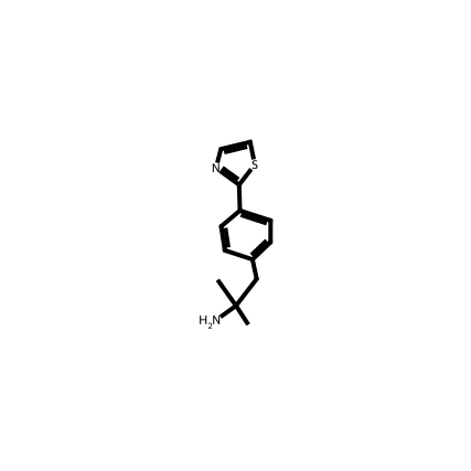 CC(C)(N)Cc1ccc(-c2nccs2)cc1